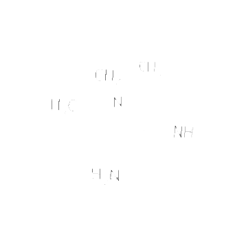 C.CN(C)C(=N)N